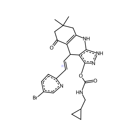 CC1(C)CC(=O)C2=C(C1)Nc1[nH]nc(OC(=O)NCC3CC3)c1C2/C=C/c1ccc(Br)cn1